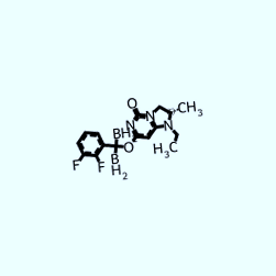 BC(B)(Oc1cc2n(c(=O)n1)C[C@H](C)N2CC)c1cccc(F)c1F